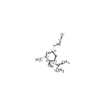 C[C@@H]1O[C@H](CN=C=O)C[C@H](N(C)C)[C@H]1O